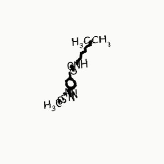 CSSCn1nnc2c1CCC1C(CC2)C1COC(=O)NCCCCCCC(C)C